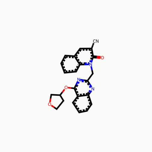 N#Cc1cc2ccccc2n(Cc2nc(OC3CCOC3)c3ccccc3n2)c1=O